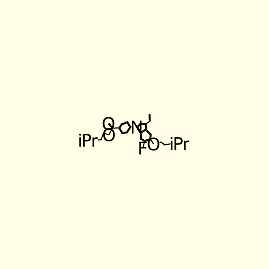 C=Cc1cn(-c2ccc(C(=O)OCCC(C)C)cc2)c2cc(F)c(OCCC(C)C)cc12